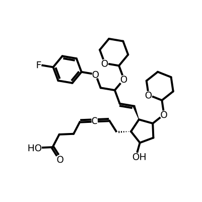 O=C(O)CCC=C=CC[C@H]1C(O)CC(OC2CCCCO2)[C@@H]1/C=C/C(COc1ccc(F)cc1)OC1CCCCO1